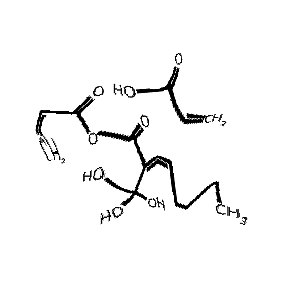 C=CC(=O)O.C=CC(=O)OC(=O)C(=CCCC)C(O)(O)O